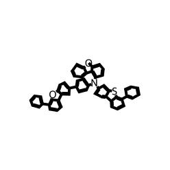 c1ccc(-c2cccc3c2oc2ccc(-c4ccc(N(c5ccc6c(c5)sc5c(-c7ccccc7)cccc56)c5cccc6oc7ccccc7c56)cc4)cc23)cc1